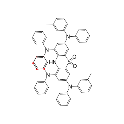 Cc1cccc(N(c2ccccc2)c2cc(N(c3ccccc3)c3ccccc3)c3c(c2)S(=O)(=O)c2cc(N(c4ccccc4)c4cccc(C)c4)cc(N(c4ccccc4)c4ccccc4)c2N3)c1